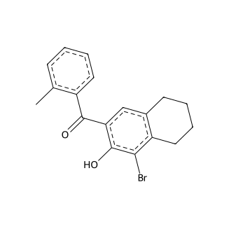 Cc1ccccc1C(=O)c1cc2c(c(Br)c1O)CCCC2